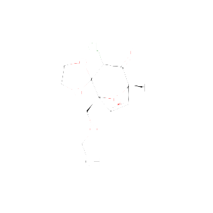 CCOC[C@]12C=C[C@H](O1)C(=O)C(Cl)C21OCCO1